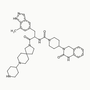 Cc1cc(CC(NC(=O)N2CCC(N3Cc4ccccc4NC3=O)CC2)C(=O)N2CCC3(CCN(C4CCNCC4)CC3)C2)cc2cn[nH]c12